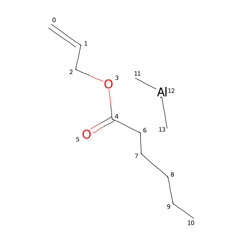 C=CCOC(=O)CCCCC.[CH3][Al][CH3]